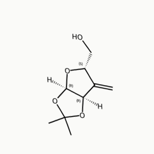 C=C1[C@H]2OC(C)(C)O[C@H]2O[C@@H]1CO